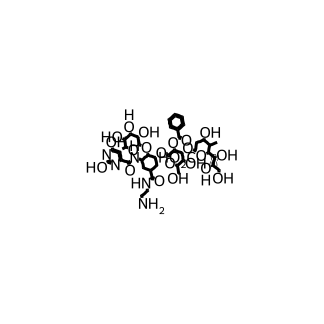 CC1OC(OC2C(NC(=O)c3cc(O)nc(O)n3)CC(C(=O)NCCN)CC2OC2OC(CO)C(O)C(OC3(C(=O)O)CC(O)C(C)C([C@H](O)[C@H](O)CO)O3)C2OC(=O)c2ccccc2)C(O)C(O)C1O